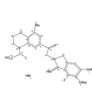 Br.COc1cc2c(c(F)c1OC)C(=N)N(CC(=O)c1cc3c(c(C(C)(C)C)c1)OCCN3C(C)C(=O)O)C2